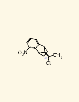 C/C(Cl)=C1\C2CCC1c1c2cccc1[N+](=O)[O-]